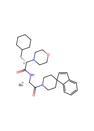 CC[C@H](C)C(NC(=O)[C@H](CC1CCCCC1)N1CCOCC1)C(=O)N1CCC2(C=Cc3ccccc32)CC1